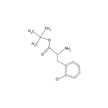 CC(C)(C)OC(=O)C(N)Cc1ccccc1Cl